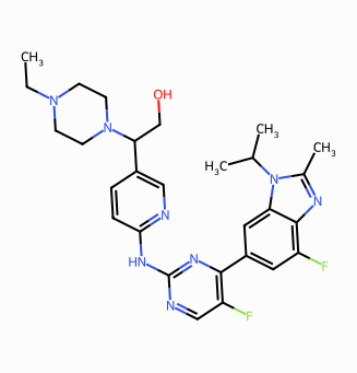 CCN1CCN(C(CO)c2ccc(Nc3ncc(F)c(-c4cc(F)c5nc(C)n(C(C)C)c5c4)n3)nc2)CC1